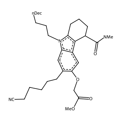 CCCCCCCCCCCCCn1c2c(c3cc(OCC(=O)OC)c(CCCCCC#N)cc31)C(C(=O)NC)CCC2